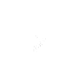 CCCCCCCCCCCCCCCCCCN(CCCCCCCCCCCCCCCCCC)C(=O)c1cc(NS(=O)(=O)c2cnc(Cl)c(Cl)c2)c2ccccc2c1O